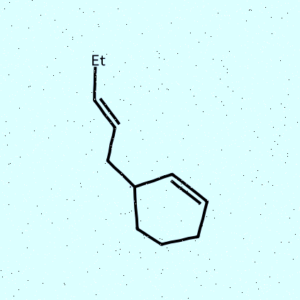 CC/C=C/C[C]1C=CCCC1